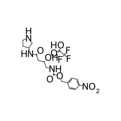 O=C(CC(O)CNC(=O)OCc1ccc([N+](=O)[O-])cc1)N[C@H]1CCNC1.O=C(O)C(F)(F)F